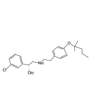 CCCC(C)(C)Oc1ccc(CCNC[C@H](O)c2cccc(Cl)c2)cc1